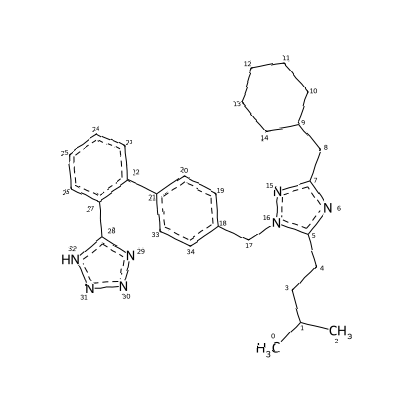 CC(C)CCc1nc(CC2CCCCC2)nn1Cc1ccc(-c2ccccc2-c2nnn[nH]2)cc1